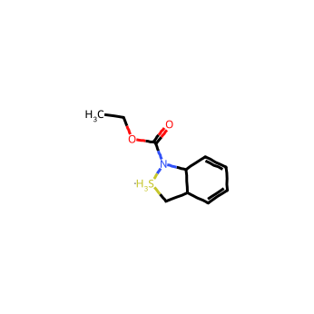 CCOC(=O)N1[SH3]CC2C=CC=CC21